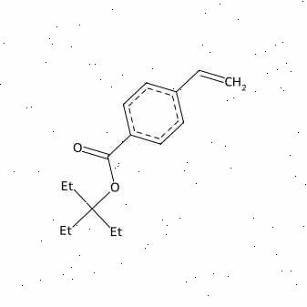 C=Cc1ccc(C(=O)OC(CC)(CC)CC)cc1